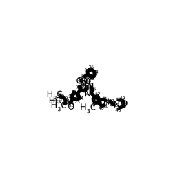 Cc1cc(-c2cnc3c(n2)c(-c2ccc(C(=O)N(C)C[C@H](C)O)cc2)cn3S(=O)(=O)Cc2ccccc2)cc2c1CCN(CCN1CCOCC1)C2